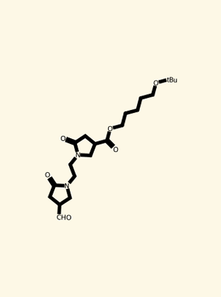 CC(C)(C)OCCCCCOC(=O)C1CC(=O)N(CCN2CC(C=O)CC2=O)C1